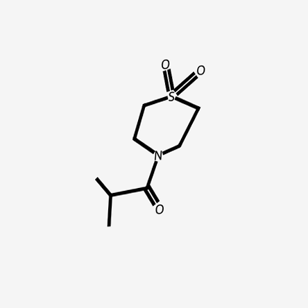 CC(C)C(=O)N1CCS(=O)(=O)CC1